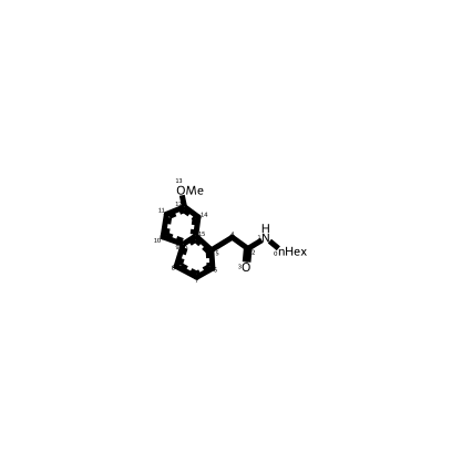 CCCCCCNC(=O)Cc1cccc2ccc(OC)cc12